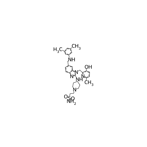 Cc1cc(C)cc(NCc2ccc3nc(NC4CCN(CCS(N)(=O)=O)CC4)n(Cc4nc(C)ccc4O)c3c2)c1